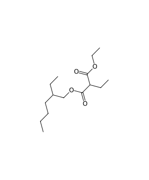 CCCCC(CC)COC(=O)C(CC)C(=O)OCC